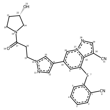 N#Cc1ccccc1Sc1cc(-c2cnn(CCC(=O)N3CC[C@H](O)C3)c2)cn2ncc(C#N)c12